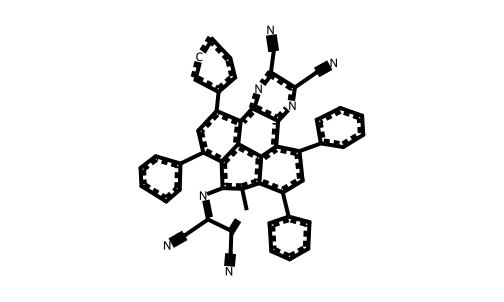 C=C(C#N)/C(C#N)=N\c1c(C)c2c(-c3ccccc3)cc(-c3ccccc3)c3c4nc(C#N)c(C#N)nc4c4c(-c5ccccc5)cc(-c5ccccc5)c1c4c23